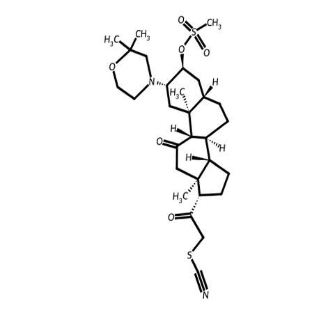 CC1(C)CN([C@H]2C[C@@]3(C)[C@@H](CC[C@H]4[C@@H]5CC[C@H](C(=O)CSC#N)[C@@]5(C)CC(=O)[C@@H]43)C[C@@H]2OS(C)(=O)=O)CCO1